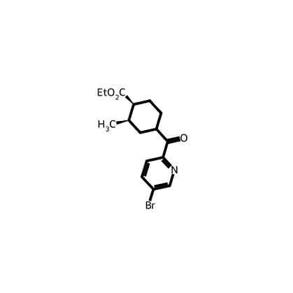 CCOC(=O)[C@H]1CCC(C(=O)c2ccc(Br)cn2)C[C@H]1C